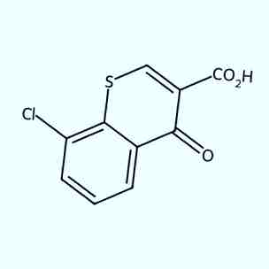 O=C(O)c1csc2c(Cl)cccc2c1=O